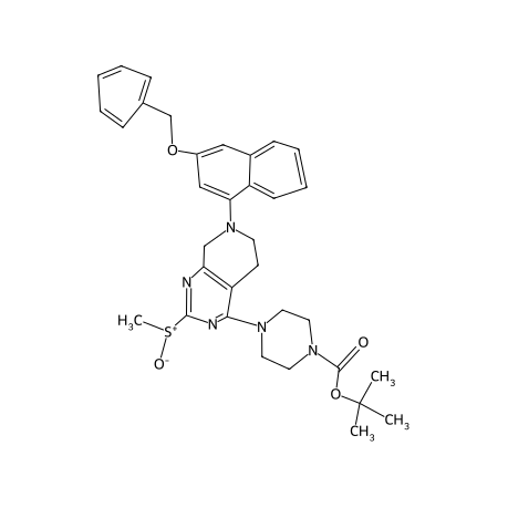 C[S+]([O-])c1nc2c(c(N3CCN(C(=O)OC(C)(C)C)CC3)n1)CCN(c1cc(OCc3ccccc3)cc3ccccc13)C2